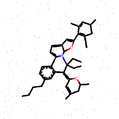 CCCCc1ccc2c(c1)/C(=C1\C=C(C)CC(C)O1)C(CC)(CC)N1C2=CC=C2C=C(C3=C(C)CC(C)C=C3C)OC21